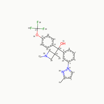 Cc1ccn(-c2cccc(C(O)(c3ccc(OC(F)(F)F)cc3)C3(C)CN(C)C3)c2)n1